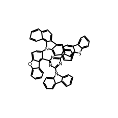 c1ccc2cc3c(cc2c1)c1ccc2ccccc2c1n3-c1ccc2oc3ccccc3c2c1-c1nc(-c2ccc3c(c2)sc2ccccc23)nc(-n2c3ccccc3c3ccccc32)n1